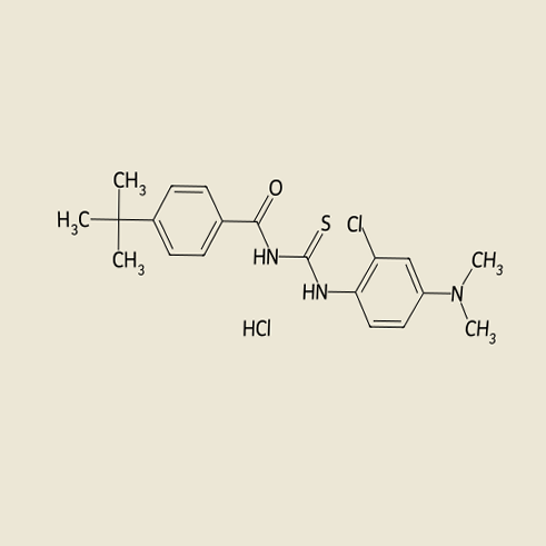 CN(C)c1ccc(NC(=S)NC(=O)c2ccc(C(C)(C)C)cc2)c(Cl)c1.Cl